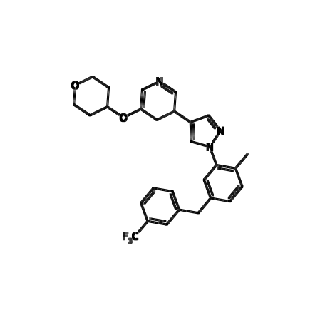 Cc1ccc(Cc2cccc(C(F)(F)F)c2)cc1-n1cc(C2C=NC=C(OC3CCOCC3)C2)cn1